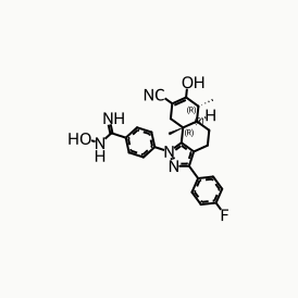 C[C@H]1C(O)=C(C#N)C[C@@]2(C)c3c(c(-c4ccc(F)cc4)nn3-c3ccc(C(=N)NO)cc3)CC[C@H]12